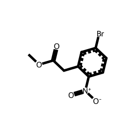 COC(=O)Cc1cc(Br)ccc1[N+](=O)[O-]